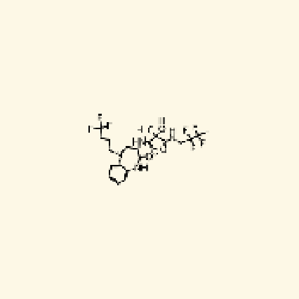 C[C@@](O)(C(=O)NCC(F)(F)C(F)(F)F)C(=O)N[C@H]1CN(CCCC(F)(F)F)c2ccccc2NC1=O